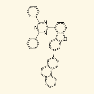 c1ccc(-c2nc(-c3ccccc3)nc(-c3cccc4oc5cc(-c6ccc7c(ccc8ccccc87)c6)ccc5c34)n2)cc1